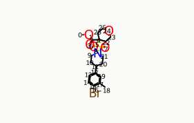 COC(=O)C1(S(=O)(=O)N2CCC(c3ccc(Br)c(C)c3)CC2)CCOCC1